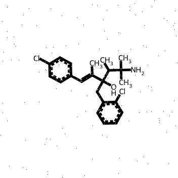 CC(=Cc1ccc(Cl)cc1)C(O)(Cc1ccccc1Cl)C(C)C(C)(C)N